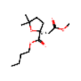 CCCCOC(=O)[C@]1(CC(=O)OC)CCC(C)(C)O1